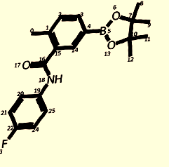 Cc1ccc(B2OC(C)(C)C(C)(C)O2)cc1C(=O)Nc1ccc(F)cc1